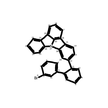 Brc1cccc(-c2ccccc2-c2ccc3c4cccc5c6ccccc6n(c3c2)c54)c1